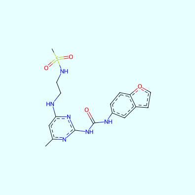 Cc1cc(NCCNS(C)(=O)=O)nc(NC(=O)Nc2ccc3occc3c2)n1